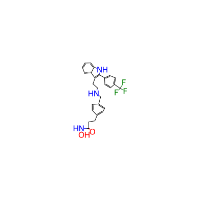 O=C(CCc1ccc(CNCCc2c(-c3ccc(C(F)(F)F)cc3)[nH]c3ccccc23)cc1)NO